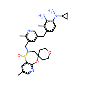 Cc1cnc2c(c1)[S+]([O-])N(Cc1cc(Cc3ccc(N(N)C4CC4)c(N)c3C)cnc1C)CC1(CCOCC1)O2